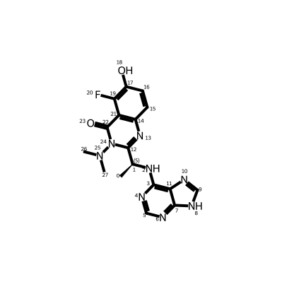 C[C@H](Nc1ncnc2[nH]cnc12)c1nc2ccc(O)c(F)c2c(=O)n1N(C)C